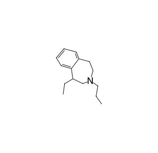 CCCN1CCc2ccccc2C(CC)C1